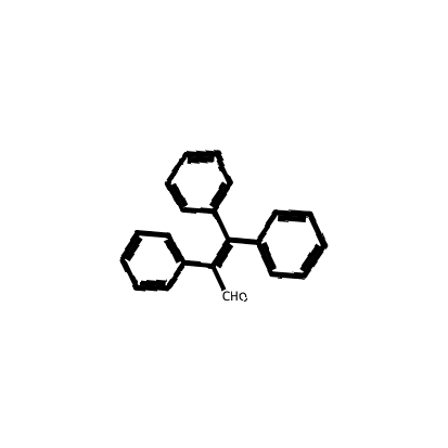 O=CC(=C(c1ccccc1)c1ccccc1)c1ccccc1